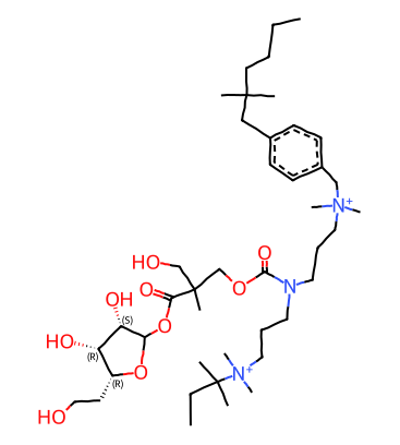 CCCCC(C)(C)Cc1ccc(C[N+](C)(C)CCCN(CCC[N+](C)(C)C(C)(C)CC)C(=O)OCC(C)(CO)C(=O)OC2O[C@H](CCO)[C@H](O)[C@@H]2O)cc1